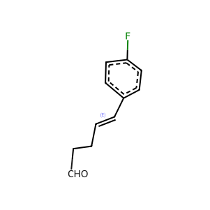 O=CCC/C=C/c1ccc(F)cc1